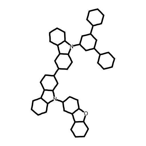 C1CCC(C2CC(C3CCCCC3)CC(N3C4CCCCC4C4CC(C5CCC6C7CCCCC7N(C7CCC8OC9CCCCC9C8C7)C6C5)CCC43)C2)CC1